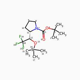 CC(C)(C)OC(=O)N1CCC[C@H]1C(O[Si](C)(C)C)C(F)(F)F